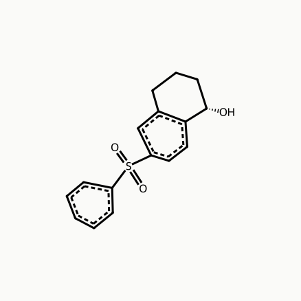 O=S(=O)(c1ccccc1)c1ccc2c(c1)CCC[C@@H]2O